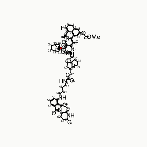 C#Cc1c(F)ccc2cc(OCOC)cc(-c3ncc4c(N5CC6CCC(C5)N6C(=O)OC(C)(C)C)nc(OC[C@@]56CCCN5[C@H](COC(=O)NCCCCNc5cccc7c5C(=O)N(C5CCC(=O)NC5=O)C7=O)CC6)nc4c3F)c12